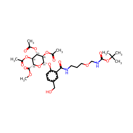 COC(=O)[C@H]1O[C@@H](Oc2ccc(CO)cc2C(=O)NCCCOCNC(=O)OC(C)(C)C)[C@H](OC(C)=O)[C@@H](OC(C)=O)[C@@H]1OC(C)=O